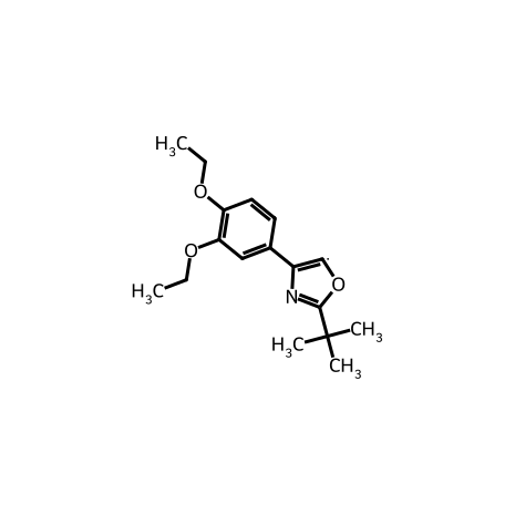 CCOc1ccc(-c2[c]oc(C(C)(C)C)n2)cc1OCC